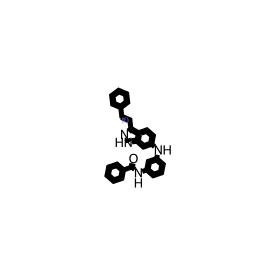 O=C(Nc1cccc(Nc2ccc3c(/C=C/c4ccccc4)n[nH]c3c2)c1)c1ccccc1